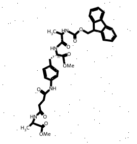 COC(=O)C(C)NC(=O)CCC(=O)Nc1ccc(C[C@H](NC(=O)C(C)NC(=O)OCC2c3ccccc3-c3ccccc32)C(=O)OC)cc1